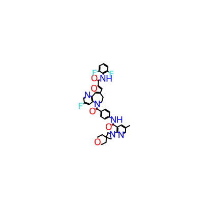 Cc1cnc(N2CC3(CCOCC3)C2)c(C(=O)Nc2ccc(C(=O)N3CCc4cc(C(=O)Nc5c(F)cccc5F)oc4-c4ncc(F)cc43)cc2)c1